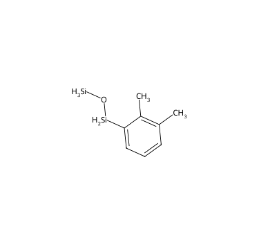 Cc1cccc([SiH2]O[SiH3])c1C